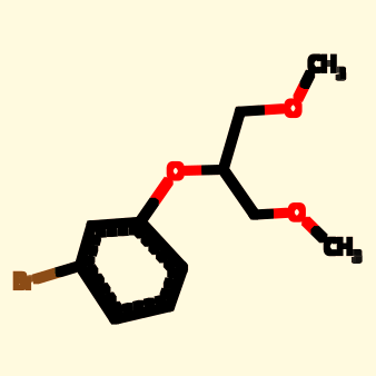 COCC(COC)Oc1cccc(Br)c1